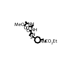 C=C(NC(=O)c1csc(C2CCCCC(CNC(=O)OCC)CC2)n1)C(=O)NC(=C)C(=O)OC